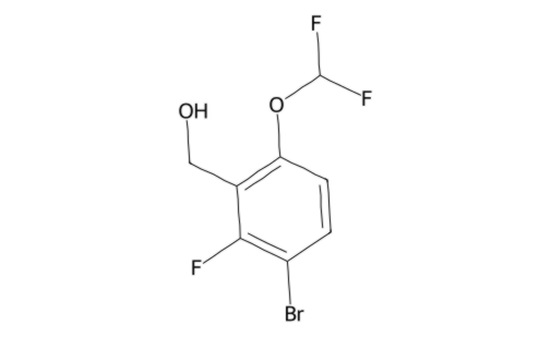 OCc1c(OC(F)F)ccc(Br)c1F